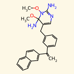 C=C(c1cccc(CC2=CN=C(N)N(OC)C2(N)OC)c1)c1ccc2ccccc2c1